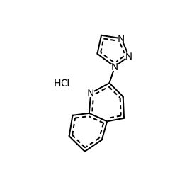 Cl.c1ccc2nc(-n3ccnn3)ccc2c1